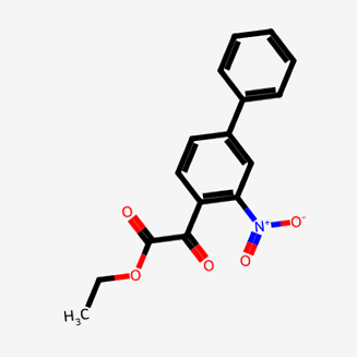 CCOC(=O)C(=O)c1ccc(-c2ccccc2)cc1[N+](=O)[O-]